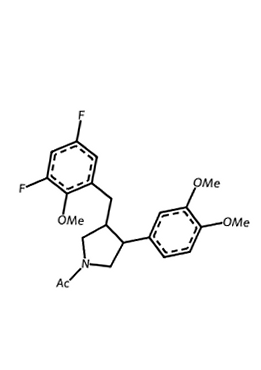 COc1ccc(C2CN(C(C)=O)CC2Cc2cc(F)cc(F)c2OC)cc1OC